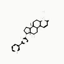 CN1C(=O)C=C[C@]2(C)[C@H]3CC[C@]4(C)[C@@H](c5csc(-c6cccnc6)n5)CC[C@H]4[C@@H]3CC[C@@H]12